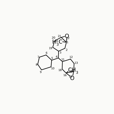 CC12CC(C(C3CCCCC3)C3CCC4OC4(C)C3)CCC1O2